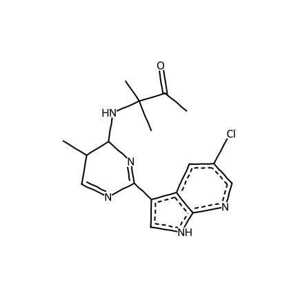 CC(=O)C(C)(C)NC1N=C(c2c[nH]c3ncc(Cl)cc23)N=CC1C